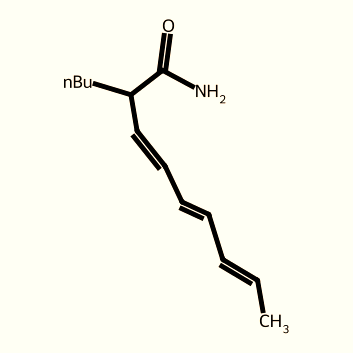 CC=CC=CC=CC(CCCC)C(N)=O